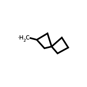 [CH2]C1CC2(CCC2)C1